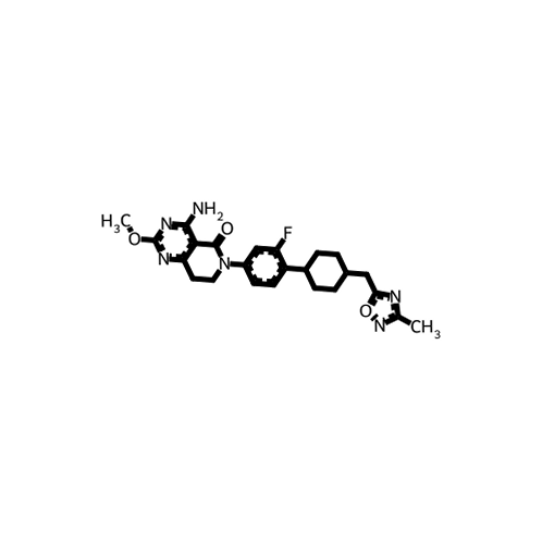 COc1nc(N)c2c(n1)CCN(c1ccc(C3CCC(Cc4nc(C)no4)CC3)c(F)c1)C2=O